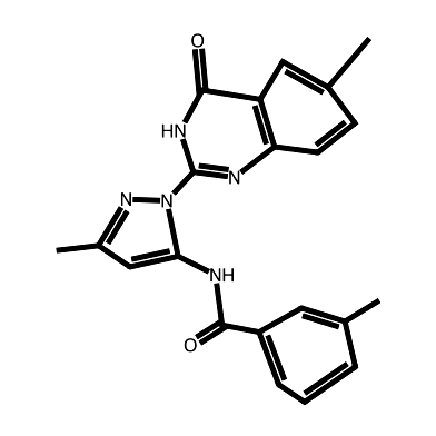 Cc1cccc(C(=O)Nc2cc(C)nn2-c2nc3ccc(C)cc3c(=O)[nH]2)c1